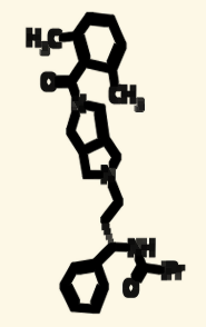 Cc1cccc(C)c1C(=O)N1C=C2CN(CC[C@H](NC(=O)C(C)C)c3ccccc3)CC2C1